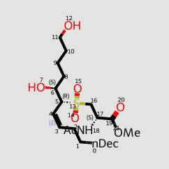 CCCCCCCCCCCC/C=C\[C@H]([C@@H](O)CCCCO)S(=O)(=O)C[C@@H](NC(C)=O)C(=O)OC